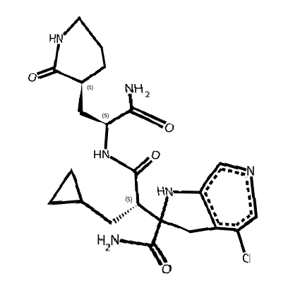 NC(=O)[C@H](C[C@@H]1CCCNC1=O)NC(=O)[C@@H](CC1CC1)C1(C(N)=O)Cc2c(Cl)cncc2N1